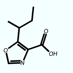 CCC(C)c1ocnc1C(=O)O